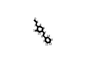 C=CCc1ccc(C=Cc2ccccc2)cc1C